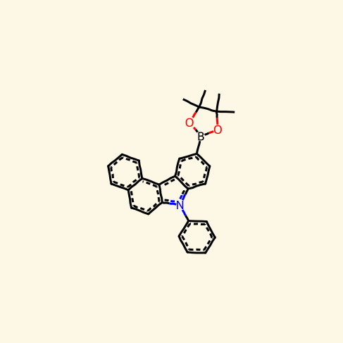 CC1(C)OB(c2ccc3c(c2)c2c4ccccc4ccc2n3-c2ccccc2)OC1(C)C